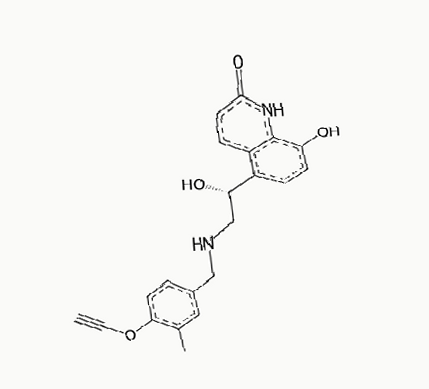 C#COc1ccc(CNC[C@H](O)c2ccc(O)c3[nH]c(=O)ccc23)cc1C